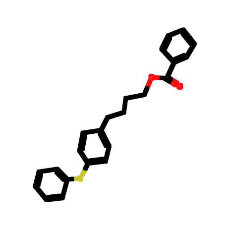 O=C(OCCCCc1ccc(Sc2ccccc2)cc1)c1ccccc1